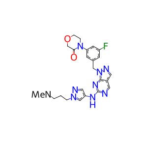 CNCCCn1cc(Nc2ncc3cnn(Cc4cc(F)cc(N5CCOCC5=O)c4)c3n2)cn1